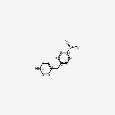 O=[N+]([O-])c1ccc(CC2=CCNCC2)cc1